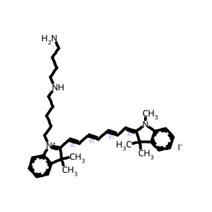 CN1/C(=C/C=C/C=C/C=C/C2=[N+](CCCCCNCCCCN)c3ccccc3C2(C)C)C(C)(C)c2ccccc21.[I-]